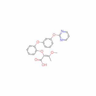 COC(C)=C(Oc1ccccc1Oc1cccc(Oc2ncccn2)c1)C(=O)O